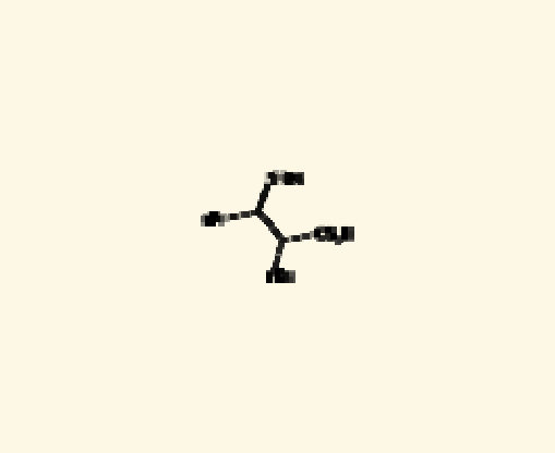 CCCCCCC(CCC)C(CCCC)C(=O)O